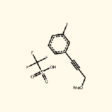 COCC#Cc1cccc(I)c1.O=S(=O)(O)C(F)(F)F